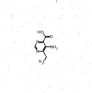 CCc1ncnc(C(=O)O)c1N